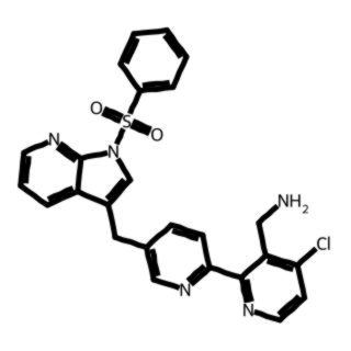 NCc1c(Cl)ccnc1-c1ccc(Cc2cn(S(=O)(=O)c3ccccc3)c3ncccc23)cn1